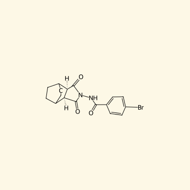 O=C(NN1C(=O)[C@@H]2C3CCC(CC3)[C@@H]2C1=O)c1ccc(Br)cc1